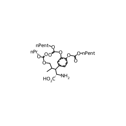 CCCCCOC(=O)Oc1ccc(C(C(C)COC(=O)OCCC)[C@H](N)C(=O)O)cc1OC(=O)OCCCCC